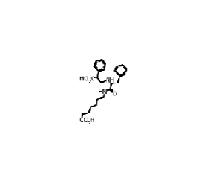 O=C(O)CCCCCCNC(=O)[C@H](Cc1ccccc1)NC[C@H](C(=O)O)c1ccccc1